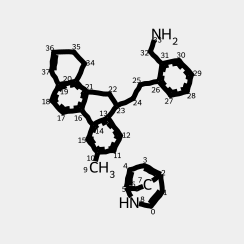 C1=CC2=CC=C(CC2)N1.Cc1ccc2c(c1)-c1ccc3c(c1CC2CCc1ccccc1CN)CCC=C3